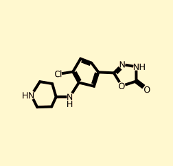 O=c1[nH]nc(-c2ccc(Cl)c(NC3CCNCC3)c2)o1